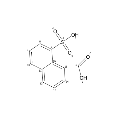 O=CO.O=S(=O)(O)c1cccc2ccccc12